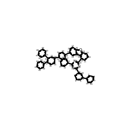 c1ccc(-c2cccc(-c3nc(-c4ccccc4)nc(-c4cccc5oc6ccc(-c7ccc(-c8ccc(-c9ccccc9)c(-c9ccccc9)c8)cc7)cc6c45)n3)c2)cc1